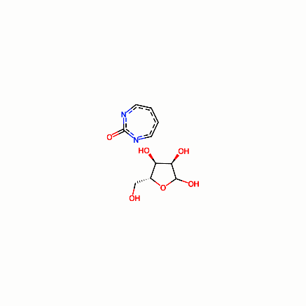 O=c1nccccn1.OC[C@H]1OC(O)[C@H](O)[C@@H]1O